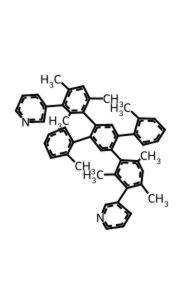 Cc1ccccc1-c1cc(-c2c(C)cc(C)c(-c3cccnc3)c2C)c(-c2ccccc2C)cc1-c1c(C)cc(C)c(-c2cccnc2)c1C